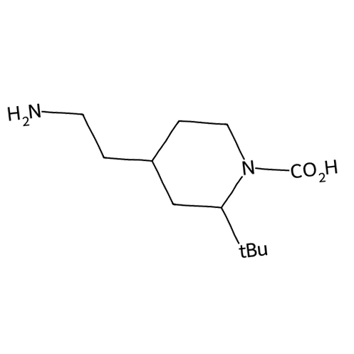 CC(C)(C)C1CC(CCN)CCN1C(=O)O